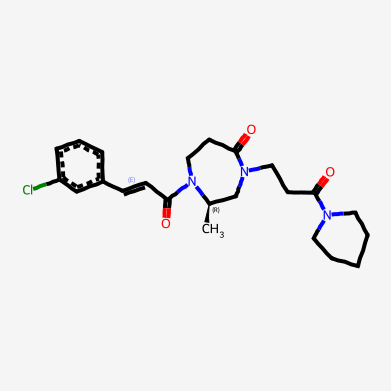 C[C@@H]1CN(CCC(=O)N2CCCCC2)C(=O)CCN1C(=O)/C=C/c1cccc(Cl)c1